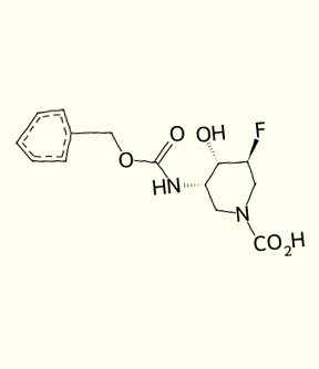 O=C(N[C@H]1CN(C(=O)O)C[C@H](F)[C@H]1O)OCc1ccccc1